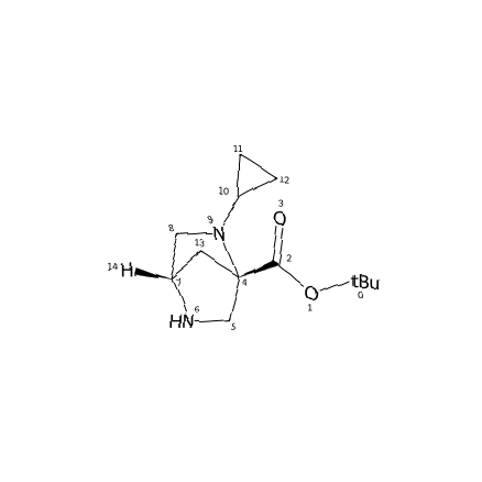 CC(C)(C)OC(=O)[C@]12CN[C@H](CN1C1CC1)C2